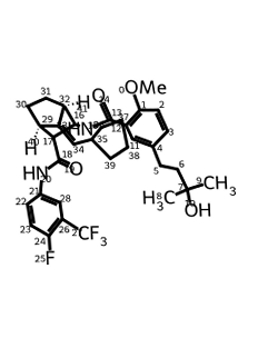 COc1ccc(CCC(C)(C)O)cc1C(=O)NC1C(C(=O)Nc2ccc(F)c(C(F)(F)F)c2)[C@H]2CC[C@@H]1/C2=C\C1CCCC1